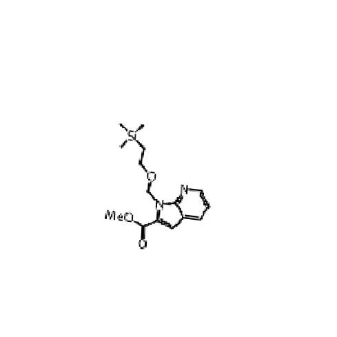 COC(=O)c1cc2cccnc2n1COCC[Si](C)(C)C